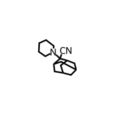 N#CC1(N2CCCCC2)C2CC3CC(C2)CC1C3